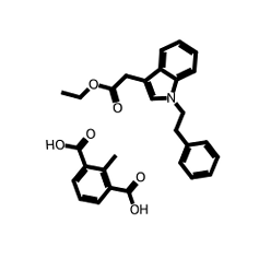 CCOC(=O)Cc1cn(CCc2ccccc2)c2ccccc12.Cc1c(C(=O)O)cccc1C(=O)O